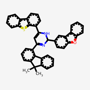 CC1(C)c2ccccc2-c2c(C3=NC(c4ccc5oc6ccccc6c5c4)NC(c4cccc5c4sc4ccccc45)=C3)cccc21